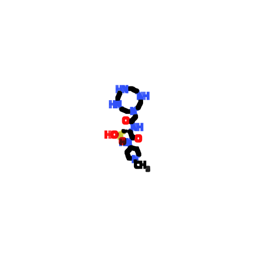 CN1CCC(NC(=O)[C@H](CS(=O)O)NC(=O)CN2CCNCCNCCNCC2)CC1